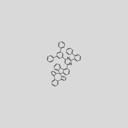 c1ccc(-c2cc(-c3ccccc3)cc(-c3cc(-c4cccc5c4-c4ccccc4C54c5ccccc5-c5ccccc5-c5ccccc54)nc(-c4ccccc4-c4ccccc4)n3)c2)cc1